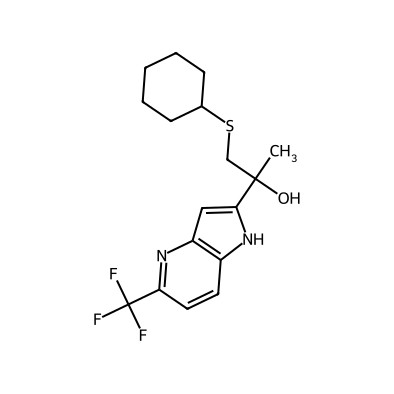 CC(O)(CSC1CCCCC1)c1cc2nc(C(F)(F)F)ccc2[nH]1